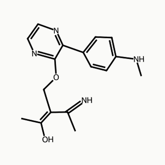 CNc1ccc(-c2nccnc2OC/C(C(C)=N)=C(\C)O)cc1